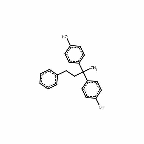 CC(CCc1ccccc1)(c1ccc(O)cc1)c1ccc(O)cc1